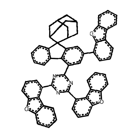 c1ccc2c(c1)-c1c(-c3nc(-c4cccc5oc6ccccc6c45)nc(-c4cccc5oc6ccccc6c45)n3)cc(-c3cccc4c3oc3ccccc34)cc1C21C2CC3CC(C2)CC1C3